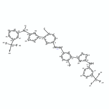 Cc1ccc(/N=N/c2ccc(F)c(-c3csc(Nc4cccc(C(F)(F)F)c4)n3)c2)cc1-c1csc(N(C)c2cccc(C(F)(F)F)c2)n1